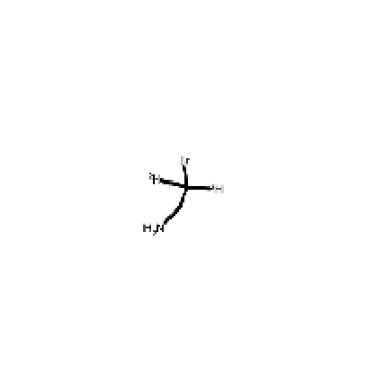 [2H]C([2H])(Br)CN